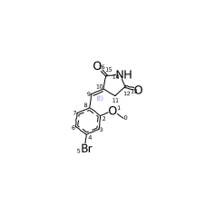 COc1cc(Br)ccc1/C=C1\CC(=O)NC1=O